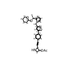 CC(=O)OC1CNC1C#Cc1ccc(-c2cc(Cn3ccnc3[C@H](C)OC3CCCCO3)no2)cc1